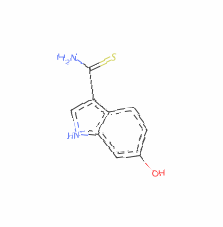 NC(=S)c1c[nH]c2cc(O)ccc12